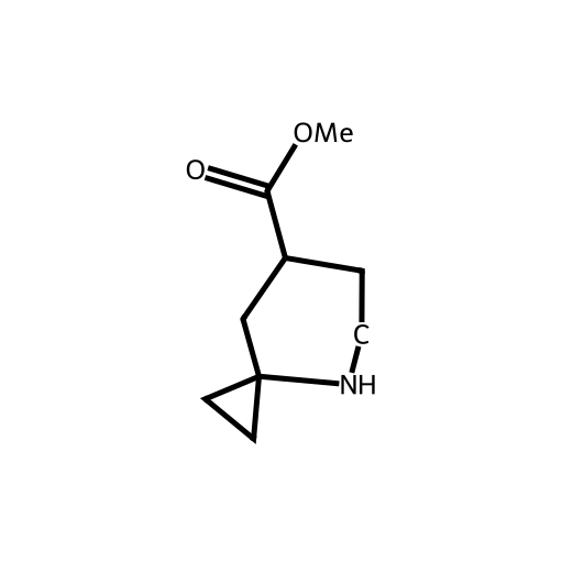 COC(=O)C1CCNC2(CC2)C1